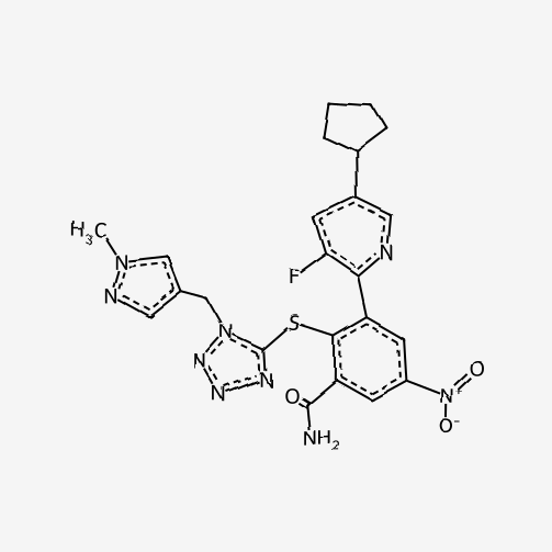 Cn1cc(Cn2nnnc2Sc2c(C(N)=O)cc([N+](=O)[O-])cc2-c2ncc(C3CCCC3)cc2F)cn1